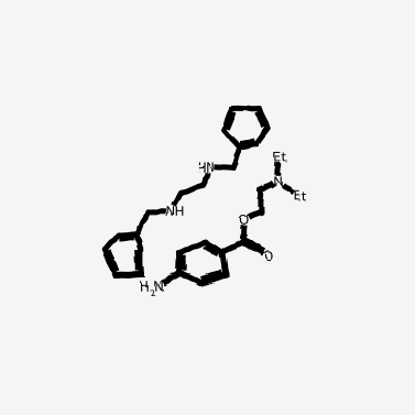 CCN(CC)CCOC(=O)c1ccc(N)cc1.c1ccc(CNCCNCc2ccccc2)cc1